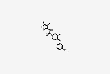 Cc1onc(NC(=O)N2CCC(=Cc3cccc(C(F)(F)F)c3)C(C)C2)c1C